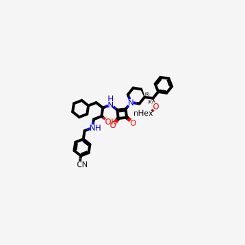 CCCCCCO[C@@H](c1ccccc1)[C@@H]1CCCN(c2c(NC(CC3CCCCC3)C(O)CNCc3ccc(C#N)cc3)c(=O)c2=O)C1